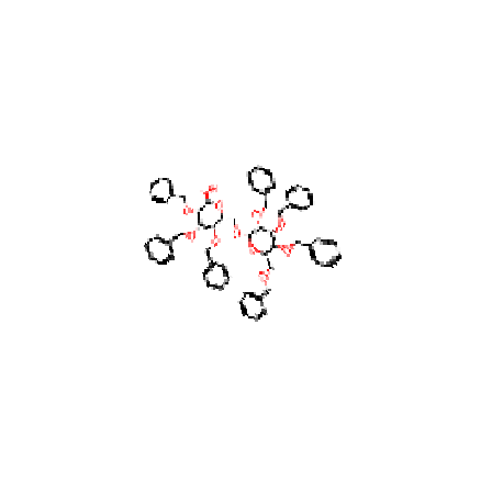 OC1O[C@H](CO[C@H]2O[C@H](COCc3ccccc3)[C@H](OCc3ccccc3)[C@H](OCc3ccccc3)[C@H]2OCc2ccccc2)[C@@H](OCc2ccccc2)[C@H](OCc2ccccc2)[C@H]1OCc1ccccc1